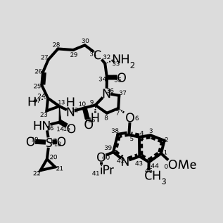 COc1ccc2c(O[C@@H]3C[C@H]4C(=O)N[C@]5(C(=O)NS(=O)(=O)C6CC6)C[C@H]5/C=C\CCCCC[C@H](N)C(=O)N4C3)cc(OC(C)C)nc2c1C